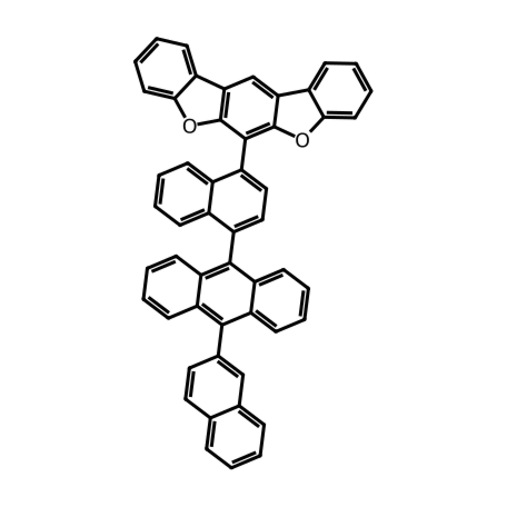 c1ccc2cc(-c3c4ccccc4c(-c4ccc(-c5c6oc7ccccc7c6cc6c5oc5ccccc56)c5ccccc45)c4ccccc34)ccc2c1